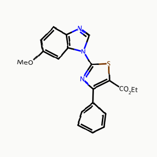 CCOC(=O)c1sc(-n2cnc3ccc(OC)cc32)nc1-c1ccccc1